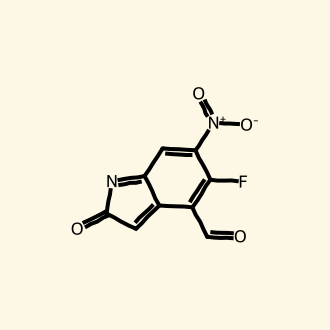 O=Cc1c(F)c([N+](=O)[O-])cc2c1=CC(=O)N=2